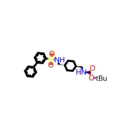 CC(C)(C)OC(=O)NC[C@H]1CC[C@H](CNS(=O)(=O)c2cccc(-c3ccccc3)c2)CC1